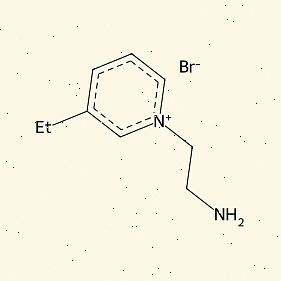 CCc1ccc[n+](CCN)c1.[Br-]